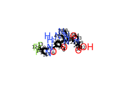 COc1cc(C(=O)Nc2cc(C(F)(F)F)ccn2)ccc1-c1nc([C@H]2CN(C(C)(C)C(=O)O)CCO2)n2ccnc(N)c12